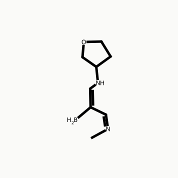 BC(/C=N\C)=C/NC1CCOC1